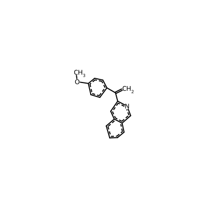 C=C(c1ccc(OC)cc1)c1cc2ccccc2cn1